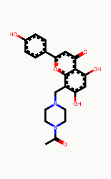 CC(=O)N1CCN(Cc2c(O)cc(O)c3c(=O)cc(-c4ccc(O)cc4)oc23)CC1